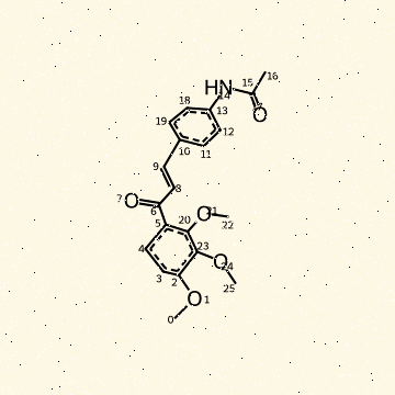 COc1ccc(C(=O)C=Cc2ccc(NC(C)=O)cc2)c(OC)c1OC